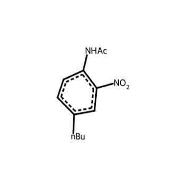 CCCCc1ccc(NC(C)=O)c([N+](=O)[O-])c1